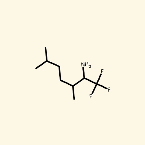 CC(C)CCC(C)C(N)C(F)(F)F